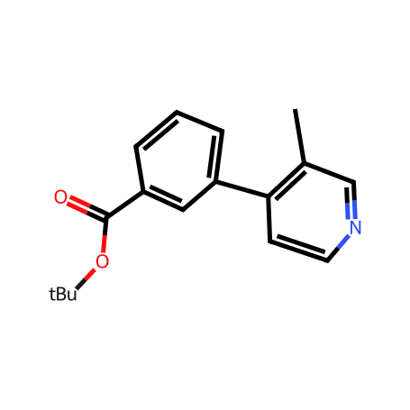 Cc1cnccc1-c1cccc(C(=O)OC(C)(C)C)c1